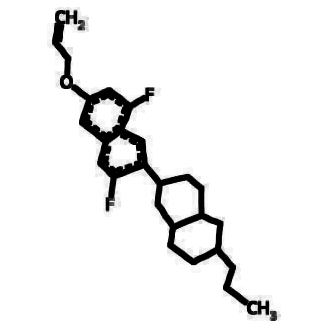 C=CCOc1cc(F)c2cc(C3CCC4CC(CCC)CCC4C3)c(F)cc2c1